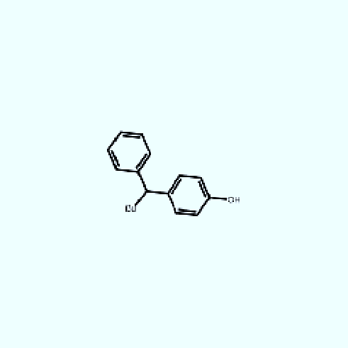 CCC(C)C(c1ccccc1)c1ccc(O)cc1